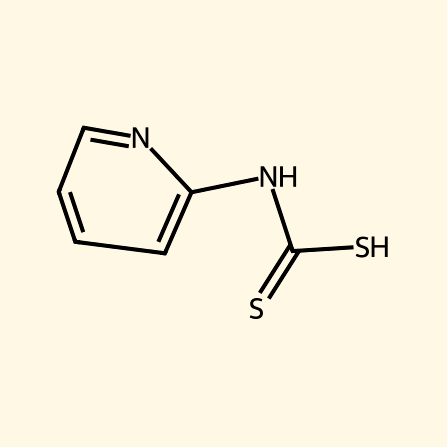 S=C(S)Nc1ccccn1